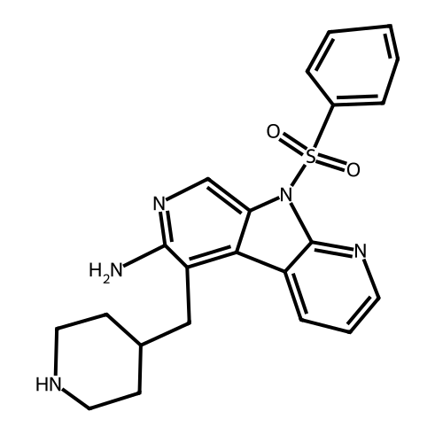 Nc1ncc2c(c1CC1CCNCC1)c1cccnc1n2S(=O)(=O)c1ccccc1